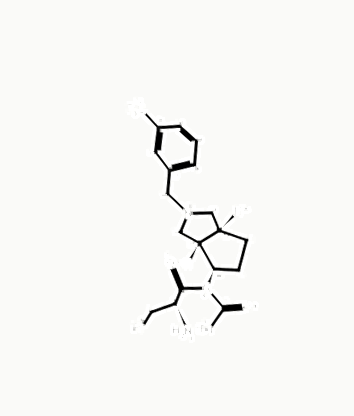 CC(C)C[C@H](N)C(=O)N(C(=O)C(C)(C)C)[C@@H]1CC[C@H]2CN(Cc3cccc(C(F)(F)F)c3)C[C@H]21